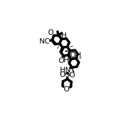 CC1(C)C(=O)C(C#N)=C[C@]2(C)C3=CC(=O)[C@]4(O)[C@@H]5C[C@@](C)(NS(=O)(=O)C6CCOCC6)CC[C@]5(C)CC[C@@]4(C)[C@]3(C)CC[C@@H]12